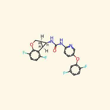 O=C(Nc1ccc(Oc2cc(F)ccc2F)cn1)N[C@@H]1[C@@H]2COc3c(F)ccc(F)c3[C@@H]21